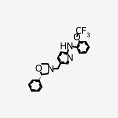 FC(F)(F)Oc1ccccc1Nc1ccc(CN2CCO[C@@H](c3ccccc3)C2)cn1